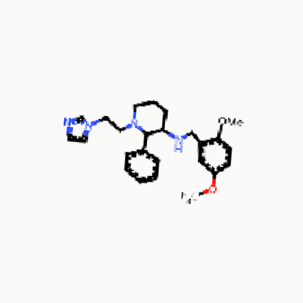 COc1ccc(OC(F)(F)F)cc1CNC1CCCN(CCn2ccnc2)C1c1ccccc1